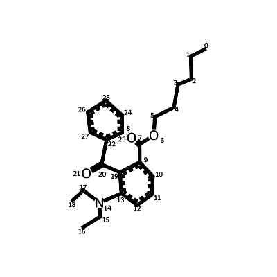 CCCCCCOC(=O)c1cccc(N(CC)CC)c1C(=O)c1ccccc1